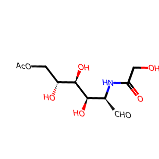 CC(=O)OC[C@@H](O)[C@@H](O)[C@H](O)[C@H](C=O)NC(=O)CO